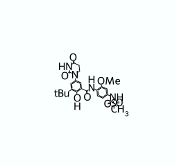 COc1cc(NS(C)(=O)=O)ccc1NC(=O)c1cc(N2CCC(=O)NC2=O)cc(C(C)(C)C)c1O